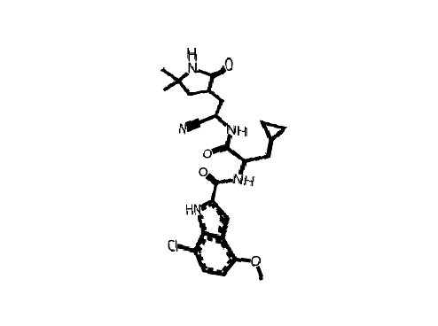 COc1ccc(Cl)c2[nH]c(C(=O)NC(CC3CC3)C(=O)NC(C#N)CC3CC(C)(C)NC3=O)cc12